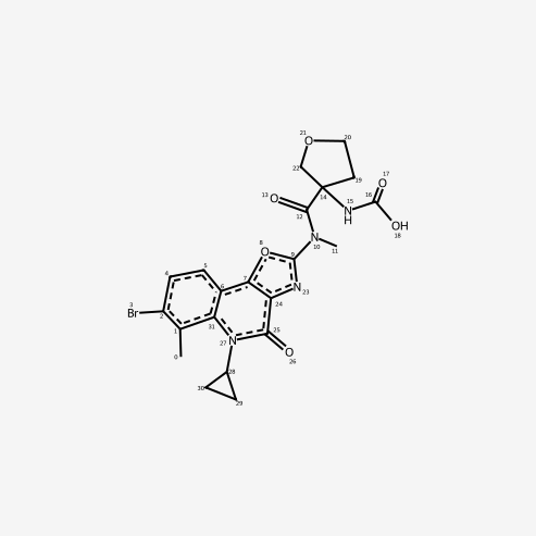 Cc1c(Br)ccc2c3oc(N(C)C(=O)C4(NC(=O)O)CCOC4)nc3c(=O)n(C3CC3)c12